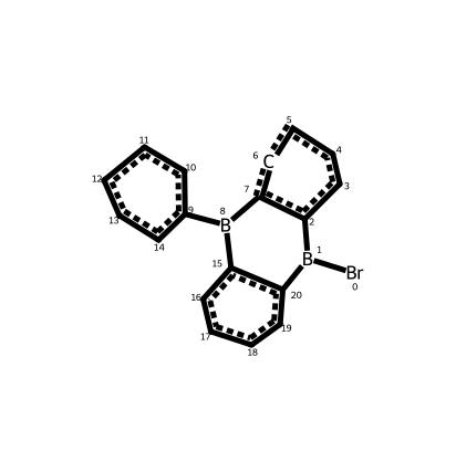 BrB1c2ccccc2B(c2ccccc2)c2ccccc21